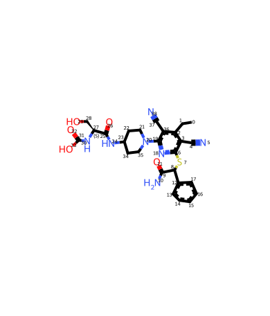 CCc1c(C#N)c(SC(C(N)=O)c2ccccc2)nc(N2CCC(NC(=O)[C@H](CO)NC(=O)O)CC2)c1C#N